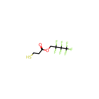 O=C(CCS)OCC(F)(F)C(F)(F)C(F)(F)F